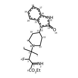 CCOC(=O)C(=N)C(F)C(C)(C)N1CCC(n2c(=O)[nH]c3ccccc32)CC1